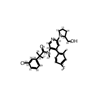 Cc1cc(F)ccc1-c1cc(N2CCCC2CO)ncc1N(C)C(=O)C(C)(C)c1cccc(Cl)c1